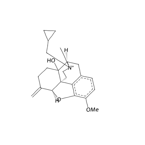 C=C1CCC2(O)[C@H]3Cc4ccc(OC)c5c4[C@@]2(CC[N+]3(C)CC2CC2)[C@H]1O5